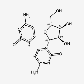 Nc1cc[nH]c(=O)n1.Nc1ncn([C@@H]2O[C@H](CO)[C@@H](O)[C@H]2O)c(=O)n1